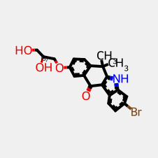 CC1(C)c2ccc(OC[C@@H](O)CO)cc2C(=O)c2c1[nH]c1cc(Br)ccc21